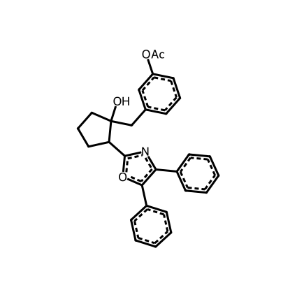 CC(=O)Oc1cccc(CC2(O)CCCC2c2nc(-c3ccccc3)c(-c3ccccc3)o2)c1